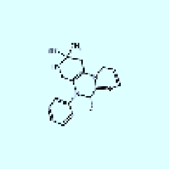 CCCC1(C)CC2=C(CN1)N(c1ccccc1)C(=O)C1=NC=CCN12